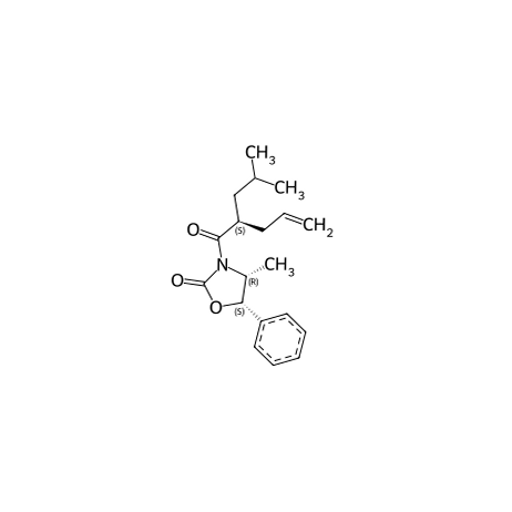 C=CC[C@H](CC(C)C)C(=O)N1C(=O)O[C@@H](c2ccccc2)[C@H]1C